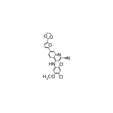 COc1cc(Nc2cc(C#N)nc3cc(-c4ccc(C5OCCO5)o4)ccc23)c(Cl)cc1Cl